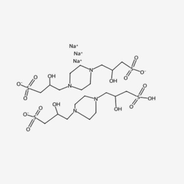 O=S(=O)([O-])CC(O)CN1CCN(CC(O)CS(=O)(=O)O)CC1.O=S(=O)([O-])CC(O)CN1CCN(CC(O)CS(=O)(=O)[O-])CC1.[Na+].[Na+].[Na+]